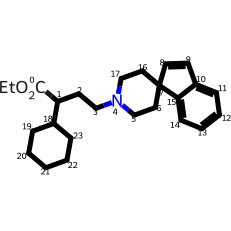 CCOC(=O)C(CCN1CCC2(C=Cc3ccccc32)CC1)C1CCCCC1